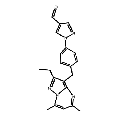 CCc1nn2c(C)cc(C)nc2c1Cc1ccc(-n2cc(C=O)cn2)cc1